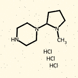 CN1CCCC1N1CCNCC1.Cl.Cl.Cl